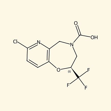 O=C(O)N1Cc2nc(Cl)ccc2O[C@H](C(F)(F)F)C1